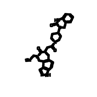 CC(C)(C)CN1Cc2c(ccc3[nH]ncc23)CC(CC(=O)N2CCC(N3Cc4ccccc4NC3=O)CC2)C1=O